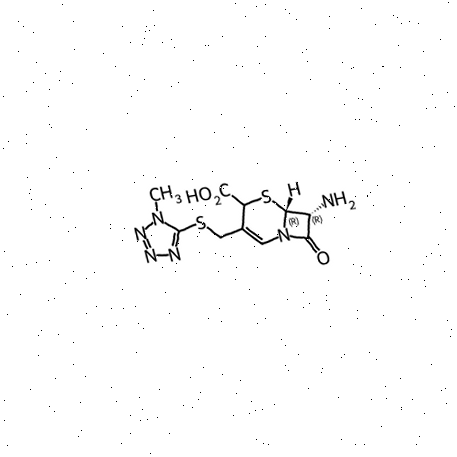 Cn1nnnc1SCC1=CN2C(=O)[C@@H](N)[C@H]2SC1C(=O)O